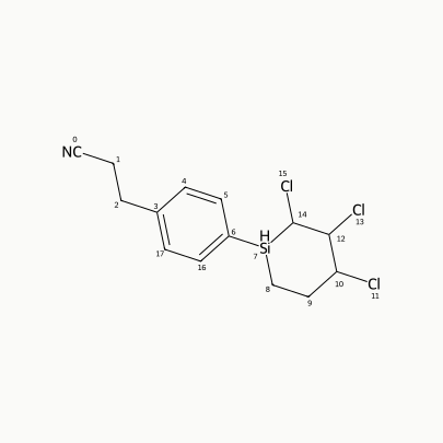 N#CCCc1ccc([SiH]2CCC(Cl)C(Cl)C2Cl)cc1